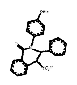 COc1ccc(N2C(=O)c3ccccc3C(C(=O)O)C2c2ccccc2)cc1